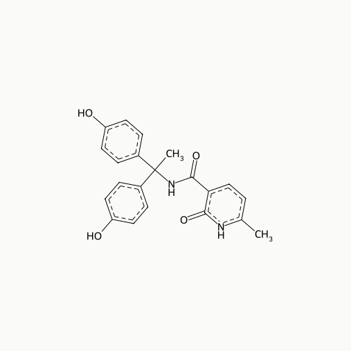 Cc1ccc(C(=O)NC(C)(c2ccc(O)cc2)c2ccc(O)cc2)c(=O)[nH]1